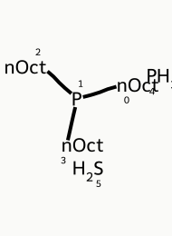 CCCCCCCCP(CCCCCCCC)CCCCCCCC.P.S